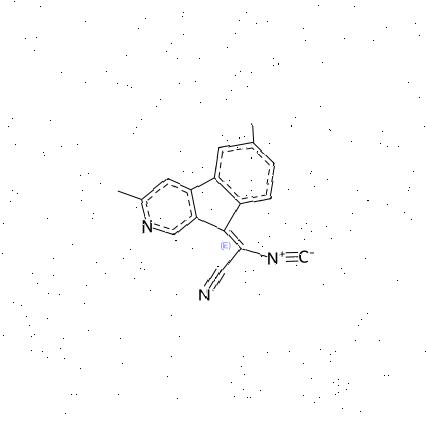 [C-]#[N+]/C(C#N)=C1\c2ccc(C)cc2-c2cc(C)ncc21